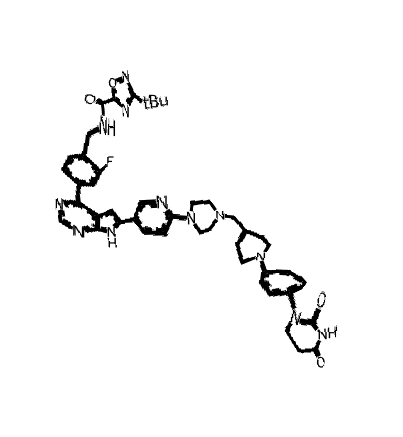 CC(C)(C)c1noc(C(=O)NCc2ccc(-c3ncnc4[nH]c(-c5ccc(N6CCN(CC7CCN(c8ccc(N9CCC(=O)NC9=O)cc8)CC7)CC6)nc5)cc34)cc2F)n1